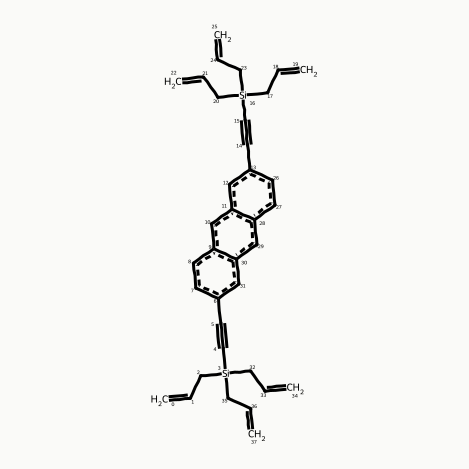 C=CC[Si](C#Cc1ccc2[c]c3cc(C#C[Si](CC=C)(CC=C)CC=C)ccc3[c]c2c1)(CC=C)CC=C